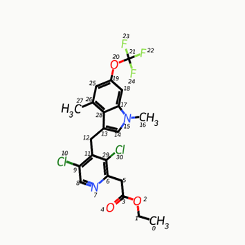 CCOC(=O)Cc1ncc(Cl)c(Cc2cn(C)c3cc(OC(F)(F)F)cc(C)c23)c1Cl